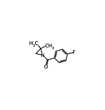 CC1(C)CN1C(=O)c1ccc(F)cc1